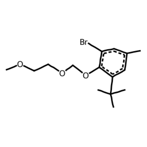 COCCOCOc1c(Br)cc(C)cc1C(C)(C)C